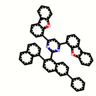 c1ccc(-c2ccc3c(-c4nc(-c5cccc6c5oc5ccccc56)cc(-c5cccc6c5oc5ccccc56)n4)c(-c4cccc5ccccc45)ccc3c2)cc1